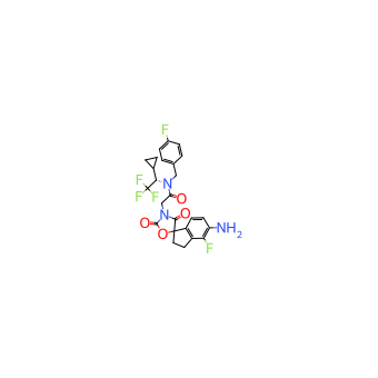 Nc1ccc2c(c1F)CCC21OC(=O)N(CC(=O)N(Cc2ccc(F)cc2)[C@@H](C2CC2)C(F)(F)F)C1=O